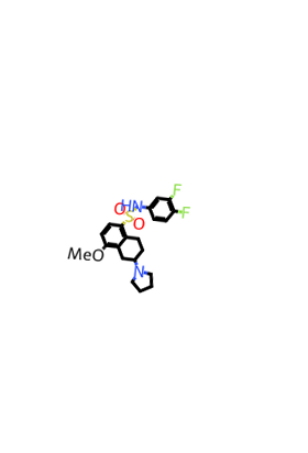 COc1ccc(S(=O)(=O)Nc2ccc(F)c(F)c2)c2c1CC(N1CCCC1)CC2